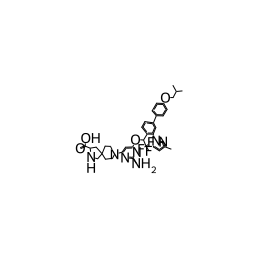 Cc1ccn(-c2cc(-c3ccc(OCC(C)C)cc3)ccc2C(Oc2cc(N3CCC4(CC3)CNC(C(=O)O)C4)nc(N)n2)C(F)(F)F)n1